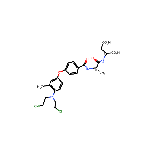 Cc1cc(Oc2ccc(C(=O)N[C@@H](C)C(=O)N[C@@H](CC(=O)O)C(=O)O)cc2)ccc1N(CCCl)CCCl